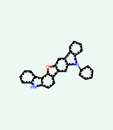 c1ccc(-n2c3ccccc3c3cc4oc5c(ccc6[nH]c7ccccc7c65)c4cc32)cc1